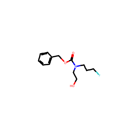 O=C(OCc1ccccc1)N(CCO)CCCF